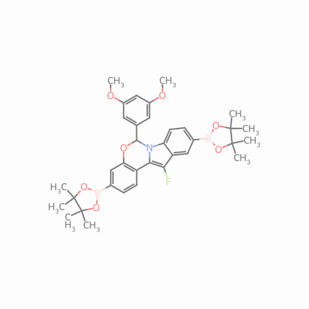 COc1cc(OC)cc(C2Oc3cc(B4OC(C)(C)C(C)(C)O4)ccc3-c3c(F)c4cc(B5OC(C)(C)C(C)(C)O5)ccc4n32)c1